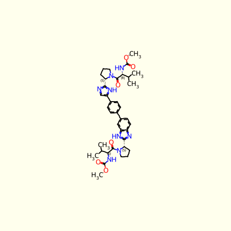 COC(=O)N[C@H](C(=O)N1CCC[C@H]1c1nc2ccc(-c3ccc(-c4cnc([C@@H]5CCCN5C(=O)[C@H](NC(=O)OC)C(C)C)[nH]4)cc3)cc2[nH]1)C(C)C